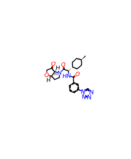 C[C@H]1CC[C@H](C(NC(=O)c2cccc(-n3cnnn3)c2)C(=O)N2CC[C@H]3OCC(=O)[C@H]32)CC1